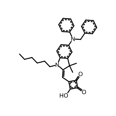 CCCCCCN1/C(=C/c2c(O)c(=O)c2=O)C(C)(C)c2cc(N(Cc3ccccc3)c3ccccc3)ccc21